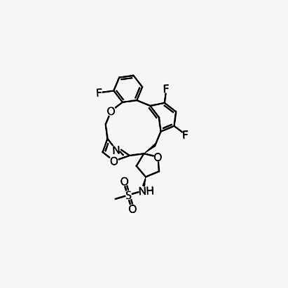 CS(=O)(=O)N[C@@H]1CO[C@]2(Cc3cc(c(F)cc3F)-c3cccc(F)c3OCc3coc2n3)C1